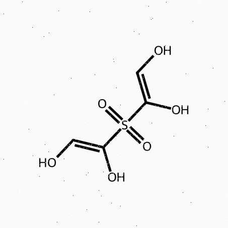 O=S(=O)(/C(O)=C/O)/C(O)=C/O